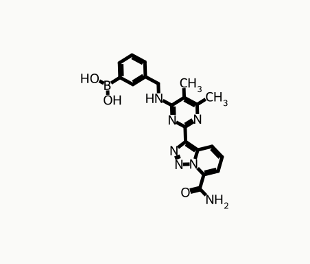 Cc1nc(-c2nnn3c(C(N)=O)cccc23)nc(NCc2cccc(B(O)O)c2)c1C